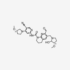 CO[C@H]1CCN(c2cc(NC(=O)N3CCCc4cc(CN5CC[C@H](OC)C5O)c(C=O)nc43)ncc2C#N)C1